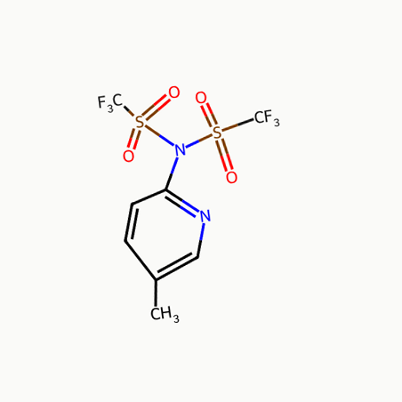 Cc1ccc(N(S(=O)(=O)C(F)(F)F)S(=O)(=O)C(F)(F)F)nc1